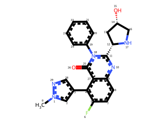 Cn1cc(-c2c(F)ccc3nc([C@@H]4C[C@H](O)CN4)n(-c4ccccc4)c(=O)c23)cn1